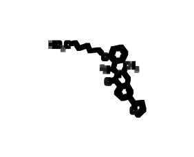 [2H]C(c1ccccc1OCCCCCC(=O)O)N1C(=O)c2ccc(-c3ccco3)cc2CC1C